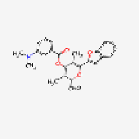 CC1=C(c2cc3ccccc3o2)OC(C=O)C(C)=C1OC(=O)c1cccc(N(C)C)c1